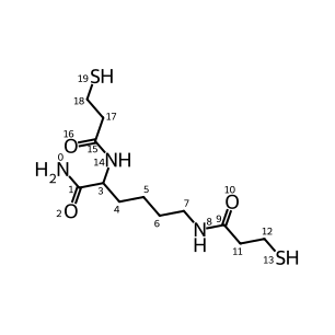 NC(=O)C(CCCCNC(=O)CCS)NC(=O)CCS